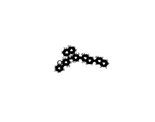 c1ccc2cc(-c3ccc4cc(-c5ccc(N(c6ccc7c(c6)oc6ccccc67)c6cccc7ccccc67)cc5)ccc4c3)ccc2c1